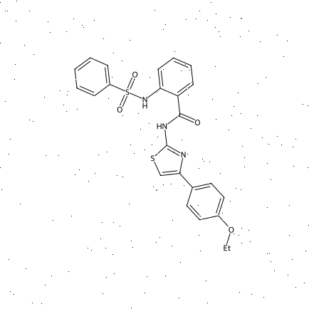 CCOc1ccc(-c2csc(NC(=O)c3ccccc3NS(=O)(=O)c3ccccc3)n2)cc1